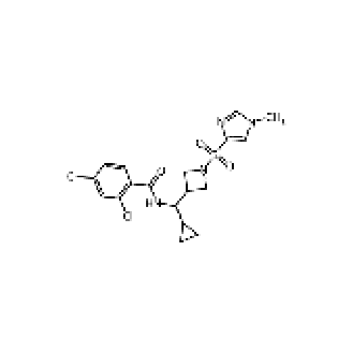 Cn1cnc(S(=O)(=O)N2CC(C(NC(=O)c3ccc(Cl)cc3Cl)C3CC3)C2)c1